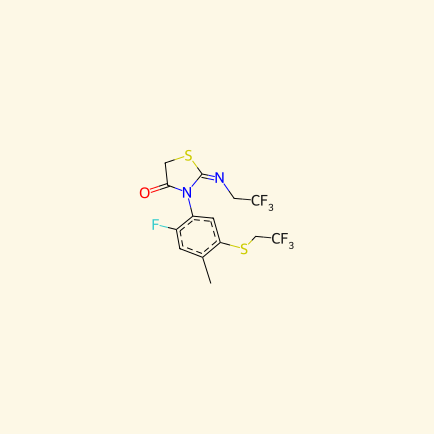 Cc1cc(F)c(N2C(=O)CS/C2=N/CC(F)(F)F)cc1SCC(F)(F)F